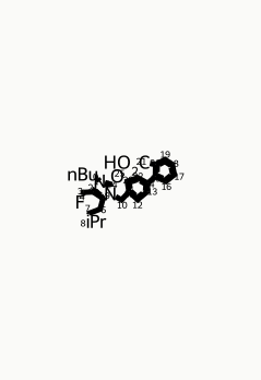 CCCCn1c(CF)c(CCC(C)C)n(Cc2ccc(-c3ccccc3C(=O)O)cc2)c1=O